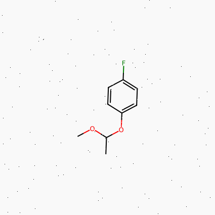 COC(C)Oc1[c]cc(F)cc1